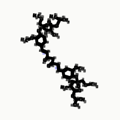 COCP(=O)(N[C@@H](C)C(=O)OC(C)C)Oc1ccc(/C=C/C(=O)CC(=O)/C=C/c2ccc(OP(=O)(COC)N[C@H](C)C(=O)OC(C)C)c(OC)c2)cc1OC